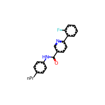 CCCc1ccc(NC(=O)c2ccc(-c3ccccc3F)nc2)cc1